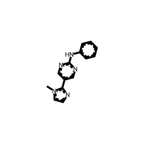 Cn1ccnc1-c1cnc(Nc2ccccc2)nc1